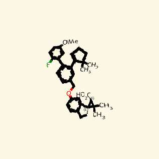 COc1ccc(F)c(-c2ccc(COc3ccc4c(c3)[C@@]3(CC4)[C@@H](C(=O)O)C3(C)C)cc2C2=CCCC2(C)C)c1